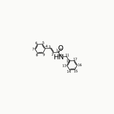 O=C(/C=C/c1ccccc1)NCc1cc[c]cc1